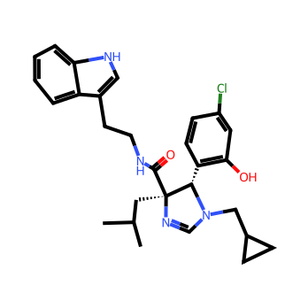 CC(C)C[C@@]1(C(=O)NCCc2c[nH]c3ccccc23)N=CN(CC2CC2)[C@H]1c1ccc(Cl)cc1O